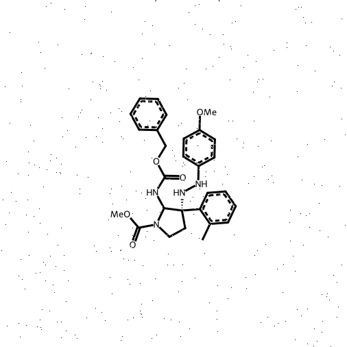 COC(=O)N1CC[C@](NNc2ccc(OC)cc2)(c2ccccc2C)C1NC(=O)OCc1ccccc1